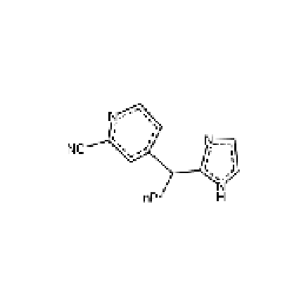 CCCC(c1ccnc(C#N)c1)c1ncc[nH]1